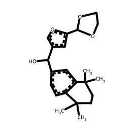 CC1(C)CCC(C)(C)c2cc(C(O)c3coc(C4OCCO4)c3)ccc21